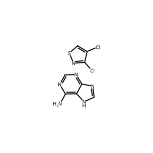 Clc1csnc1Cl.Nc1ncnc2nc[nH]c12